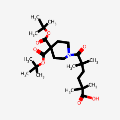 CC(C)(C)OC(=O)C1(C(=O)OC(C)(C)C)CCN(C(=O)C(C)(C)CCC(C)(C)C(=O)O)CC1